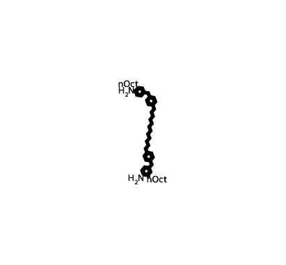 CCCCCCCCc1cc(Cc2ccc(CCCCCCCCCCCCc3ccc(Cc4ccc(N)c(CCCCCCCC)c4)cc3)cc2)ccc1N